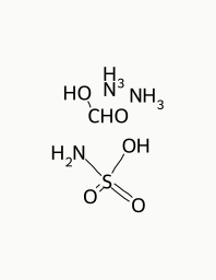 N.N.NS(=O)(=O)O.O=CO